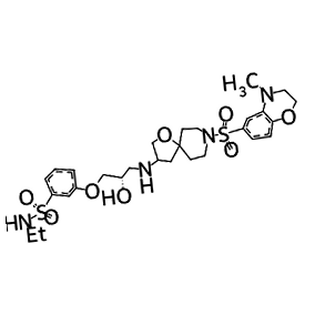 CCNS(=O)(=O)c1cccc(OC[C@@H](O)CNC2COC3(CCN(S(=O)(=O)c4ccc5c(c4)N(C)CCO5)CC3)C2)c1